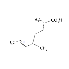 C/C=C/C(C)CCC(C)C(=O)O